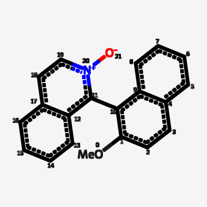 COc1ccc2ccccc2c1-c1c2ccccc2cc[n+]1[O-]